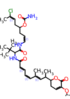 COC1=CCC(C(C)/C=C(C)/C=C\C=C\C(=O)NC(C(=O)N/C=C\CC(C/C=C(\C)Cl)OC(N)=O)C(C)(C)C)OC1=O